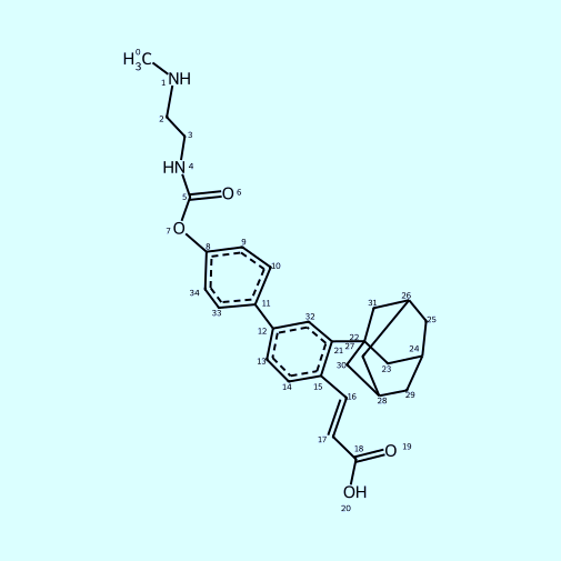 CNCCNC(=O)Oc1ccc(-c2ccc(C=CC(=O)O)c(C34CC5CC(CC(C5)C3)C4)c2)cc1